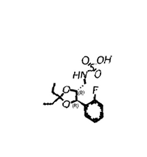 CCC1(CC)O[C@H](c2ccccc2F)[C@@H](CNS(=O)(=O)O)O1